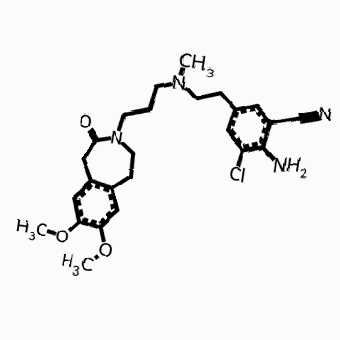 COc1cc2c(cc1OC)CC(=O)N(CCCN(C)CCc1cc(Cl)c(N)c(C#N)c1)CC2